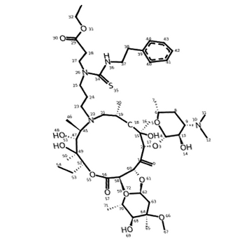 C=C1[C@@H](O[C@@H]2O[C@H](C)C[C@H](N(C)C)[C@H]2O)[C@](C)(O)C[C@@H](C)CN(CCCN(CCC(=O)OCC)C(=S)NCCc2ccccc2)[C@H](C)[C@@H](O)[C@](C)(O)[C@@H](CC)OC(=O)[C@H](C)[C@H]1O[C@H]1C[C@@](C)(OC)[C@@H](O)[C@H](C)O1